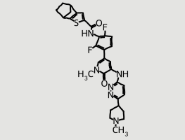 CN1CCC(c2ccc(Nc3cc(-c4ccc(F)c(NC(=O)c5cc6c(s5)C5CCC6C5)c4F)cn(C)c3=O)nn2)CC1